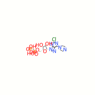 CN1CCN(c2nc(Cl)nc3c2ncn3[C@@H]2O[C@H](COP(=O)(O)CP(=O)(O)O)[C@H](O)[C@@H]2O)CC1